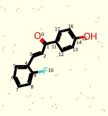 O=C(C=Cc1ccccc1F)c1ccc(O)cc1